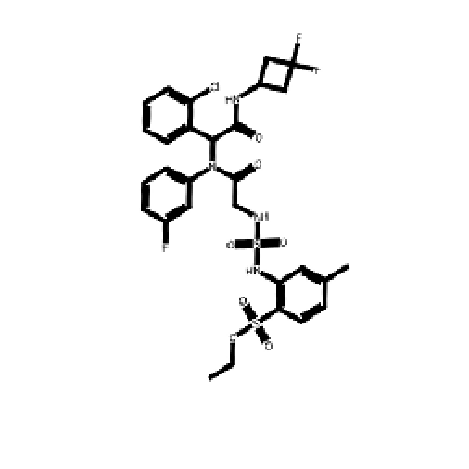 CCOS(=O)(=O)c1ccc(C)cc1NS(=O)(=O)NCC(=O)N(c1cccc(F)c1)C(C(=O)NC1CC(F)(F)C1)c1ccccc1Cl